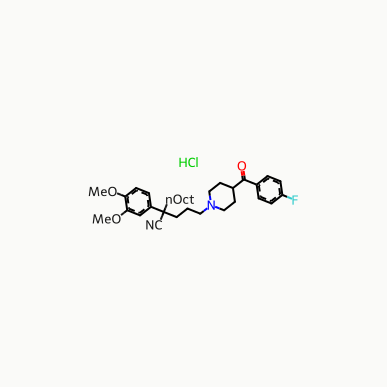 CCCCCCCCC(C#N)(CCCN1CCC(C(=O)c2ccc(F)cc2)CC1)c1ccc(OC)c(OC)c1.Cl